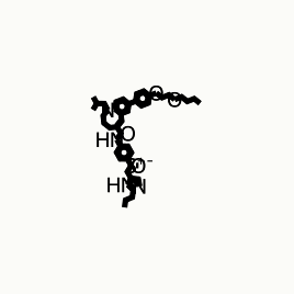 CCCCOCCOc1ccc(-c2ccc3c(c2)C=C(C(=O)Nc2ccc([S+]([O-])Cc4cnc(CCC)[nH]4)cc2)CCCN3CC(C)C)cc1